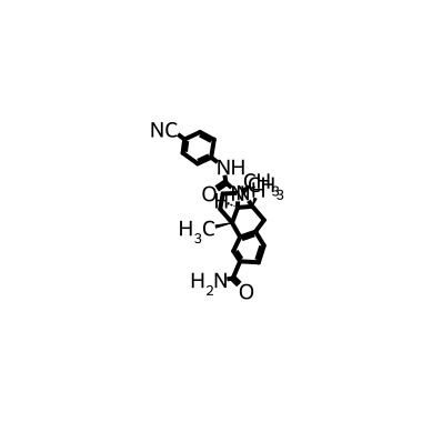 CN1CC[C@@]2(C)c3cc(C(N)=O)ccc3C[C@@H]1[C@@H]2N(C)C(=O)Nc1ccc(C#N)cc1